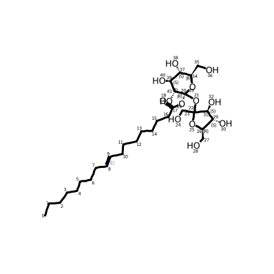 CCCCCCCC/C=C/CCCCCCCC(=O)O[C@@]1(OC2(CO)O[C@H](CO)[C@@H](O)[C@@H]2O)O[C@H](CO)[C@@H](O)[C@H](O)[C@H]1O